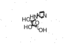 OC[C@H]1OC(Nn2ccnc2)[C@H](O)[C@@H]1O